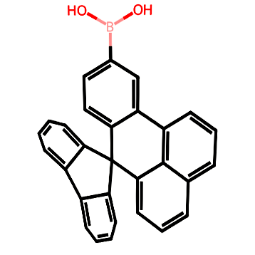 OB(O)c1ccc2c(c1)-c1cccc3cccc(c13)C21c2ccccc2-c2ccccc21